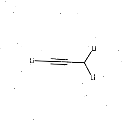 [Li][C]#C[CH]([Li])[Li]